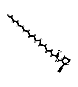 C#CC1OCCC1OC(=O)CCCCCCCCCCCCCCCCC